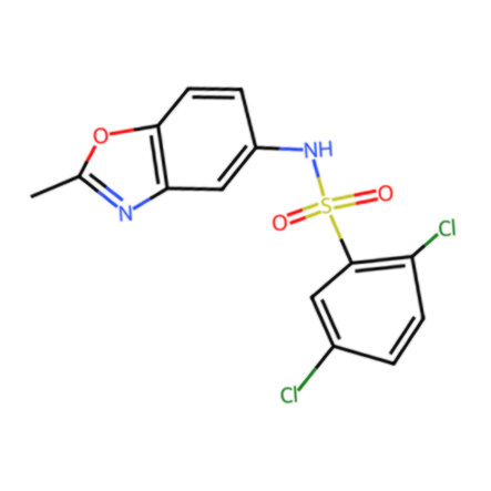 Cc1nc2cc(NS(=O)(=O)c3cc(Cl)ccc3Cl)ccc2o1